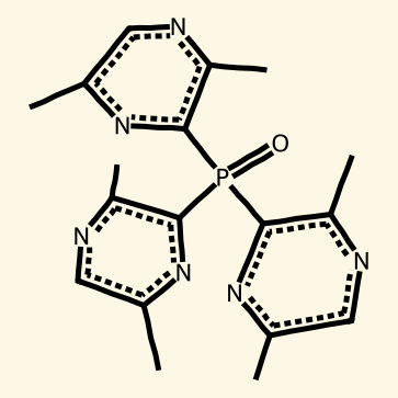 Cc1cnc(C)c(P(=O)(c2nc(C)cnc2C)c2nc(C)cnc2C)n1